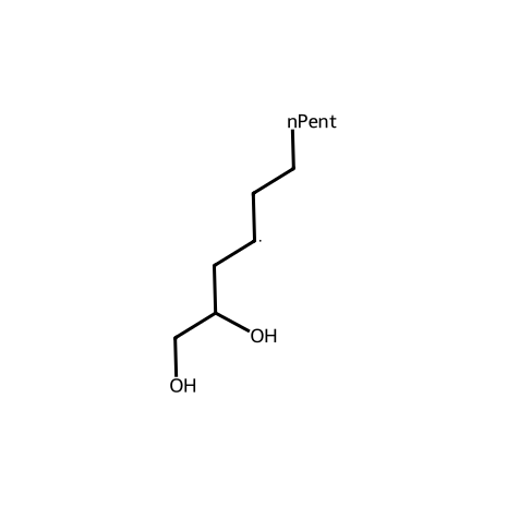 CCCCCCC[CH]CC(O)CO